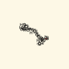 O=C(NC1(C(=O)OC2CN3CCC2CC3)CCc2ccccc21)c1ccc(OCc2ccc(CNC[C@H](O)c3ccc(O)c4[nH]c(=O)ccc34)cc2)cc1